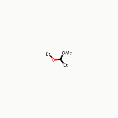 [CH2]CC(OC)OCC